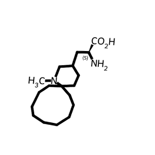 CN1CC(C[C@H](N)C(=O)O)CCC12CCCCCCCCC2